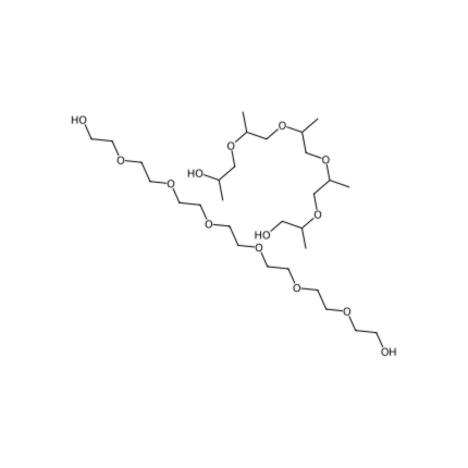 CC(O)COC(C)COC(C)COC(C)COC(C)CO.OCCOCCOCCOCCOCCOCCOCCO